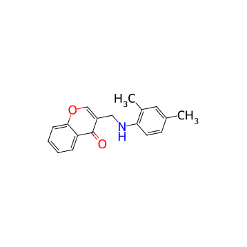 Cc1ccc(NCc2coc3ccccc3c2=O)c(C)c1